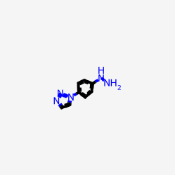 NNc1ccc(-n2ccnn2)cc1